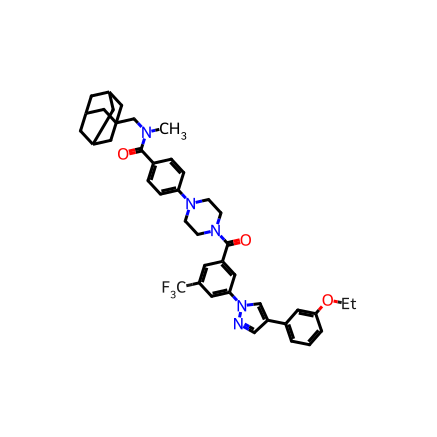 CCOc1cccc(-c2cnn(-c3cc(C(=O)N4CCN(c5ccc(C(=O)N(C)CC67CC8CC(CC(C8)C6)C7)cc5)CC4)cc(C(F)(F)F)c3)c2)c1